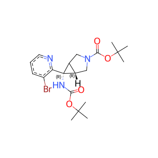 CC(C)(C)OC(=O)N[C@]1(c2ncccc2Br)C2CN(C(=O)OC(C)(C)C)C[C@@H]21